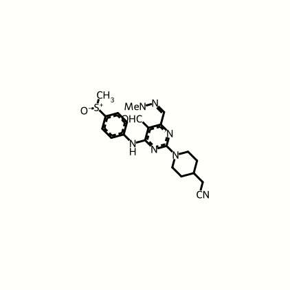 CN/N=C\c1nc(N2CCC(CC#N)CC2)nc(Nc2ccc([S+](C)[O-])cc2)c1C=O